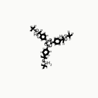 CC(C)(C)[SiH2]OC(C)(C)c1ccc(B2OB(c3ccc(C(C)(C)O[SiH2]C(C)(C)C)cc3)OB(c3ccc(C(C)(C)O[SiH2]C(C)(C)C)cc3)O2)cc1